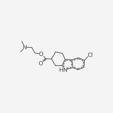 CN(C)CCOC(=O)C1CCc2c([nH]c3ccc(Cl)cc23)C1